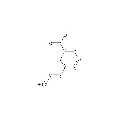 CCC(=O)c1cccc(C=CC(=O)O)c1